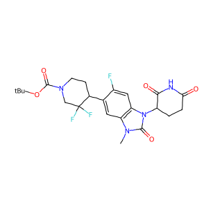 Cn1c(=O)n(C2CCC(=O)NC2=O)c2cc(F)c(C3CCN(C(=O)OC(C)(C)C)CC3(F)F)cc21